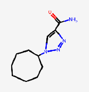 NC(=O)c1cn(C2CCCCCCC2)nn1